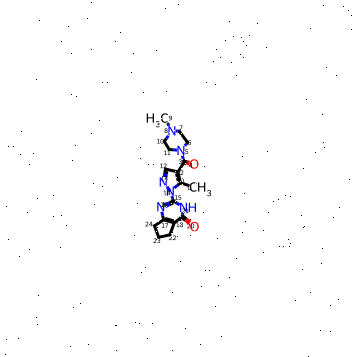 Cc1c(C(=O)N2CCN(C)CC2)cnn1-c1nc2c(c(=O)[nH]1)CCC2